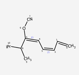 C=C/C=C\C=C(\OC#N)C(C)C(C)C